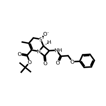 CC1=C(C(=O)OC(C)(C)C)N2C(=O)C(NC(=O)COc3ccccc3)[C@@H]2[S+]([O-])C1